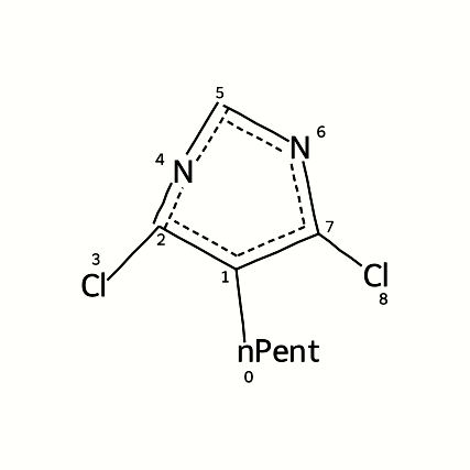 CCCCCc1c(Cl)ncnc1Cl